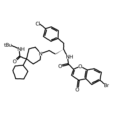 CC(C)(C)NC(=O)C1(C2CCCCC2)CCN(CC[C@H](Cc2ccc(Cl)cc2)NC(=O)c2cc(=O)c3cc(Br)ccc3o2)CC1